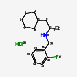 CCC(CC1CCCCC1)NCc1ccccc1F.Cl